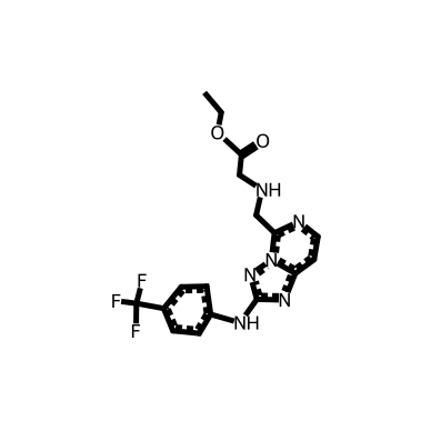 CCOC(=O)CNCc1nccc2nc(Nc3ccc(C(F)(F)F)cc3)nn12